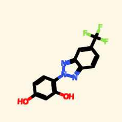 Oc1ccc(-n2nc3ccc(C(F)(F)F)cc3n2)c(O)c1